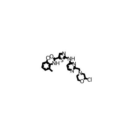 Cc1cccc(Cl)c1NC(=O)c1cnc(Nc2ccnc(CN3CCOC(Cl)C3)n2)s1